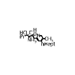 CCCCCCCc1cc(C[C@](O)(C(=O)O)[C@@H](N)CC(C)C)ncc1C